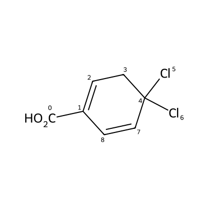 O=C(O)C1=CCC(Cl)(Cl)C=C1